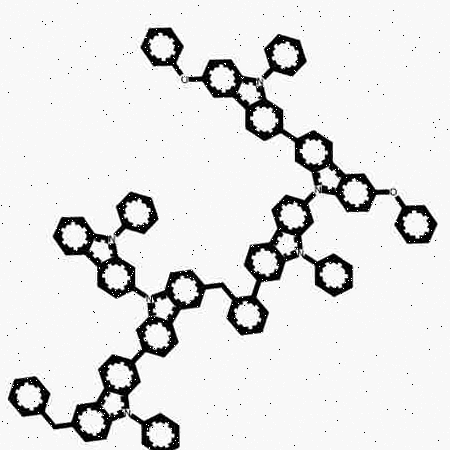 c1ccc(Cc2ccc3c(c2)c2ccc(-c4ccc5c6cc(Cc7ccccc7-c7ccc8c9ccc(-n%10c%11ccc(Oc%12ccccc%12)cc%11c%11ccc(-c%12ccc%13c%14cc(Oc%15ccccc%15)ccc%14n(-c%14ccccc%14)c%13c%12)cc%11%10)cc9n(-c9ccccc9)c8c7)ccc6n(-c6ccc7c8ccccc8n(-c8ccccc8)c7c6)c5c4)cc2n3-c2ccccc2)cc1